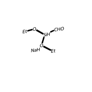 CCO[SiH](C=O)OCC.[NaH]